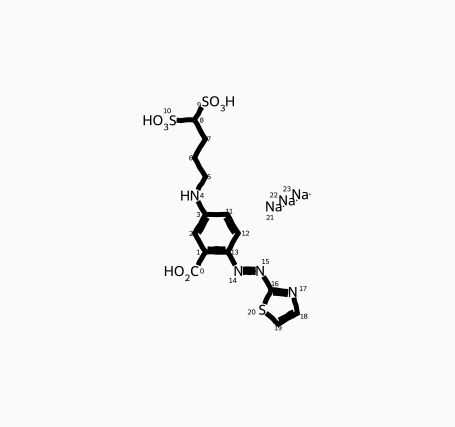 O=C(O)c1cc(NCCCC(S(=O)(=O)O)S(=O)(=O)O)ccc1N=Nc1nccs1.[Na].[Na].[Na]